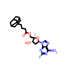 C[C@]1(COC(=O)CCCC23CC4CC(CC(C4)C2)C3)O[C@@H](n2cnc3c(N)nc(F)nc32)C[C@@H]1O